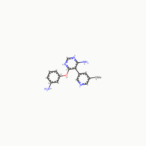 COc1cncc(-c2c(N)ncnc2Oc2cccc(N)c2)c1